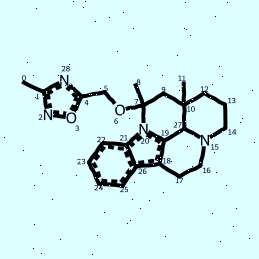 Cc1noc(COC2(C)CC3(C)CCCN4CCc5c(n2c2ccccc52)C43)n1